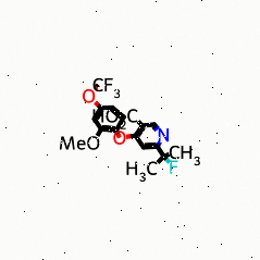 COc1cc(OC(F)(F)F)ccc1Oc1cc(C(C)(C)F)ncc1C(=O)O